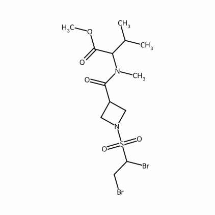 COC(=O)C(C(C)C)N(C)C(=O)C1CN(S(=O)(=O)C(Br)CBr)C1